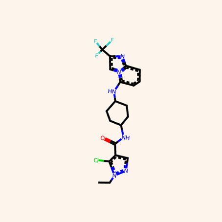 CCn1ncc(C(=O)NC2CCC(Nc3cccc4nc(C(F)(F)F)cn34)CC2)c1Cl